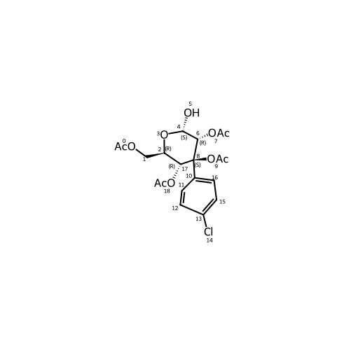 CC(=O)OC[C@H]1O[C@H](O)[C@H](OC(C)=O)[C@](OC(C)=O)(c2ccc(Cl)cc2)[C@@H]1OC(C)=O